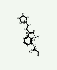 CCC(=O)Oc1cccc2c(CCN3CCCC3)c[nH]c12